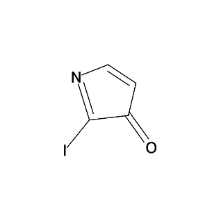 O=C1C=CN=C1I